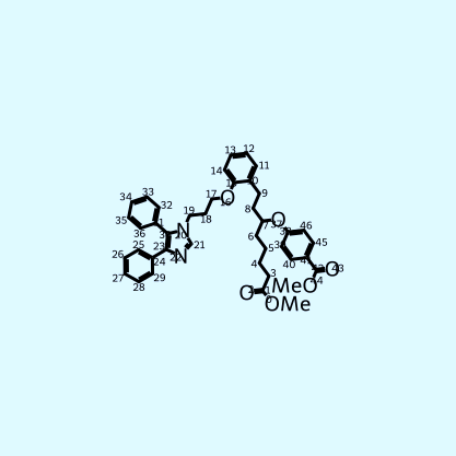 COC(=O)CCCCC(CCc1ccccc1OCCCn1cnc(-c2ccccc2)c1-c1ccccc1)Oc1ccc(C(=O)OC)cc1